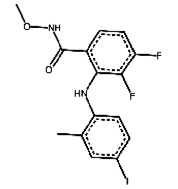 CONC(=O)c1ccc(F)c(F)c1Nc1ccc(I)cc1C